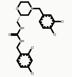 O=C(NCc1ccc(Cl)cc1Cl)NC[C@H]1CN(Cc2ccc(Cl)c(Cl)c2)CCO1